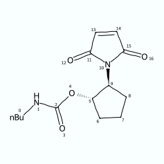 CCCCNC(=O)O[C@H]1CCC[C@@H]1N1C(=O)C=CC1=O